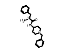 N[C@@H](Cc1ccccc1)C(=O)NC1CCN(Cc2ccccc2)CC1